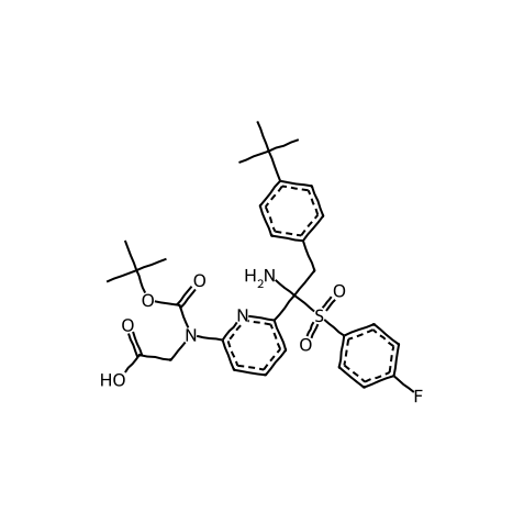 CC(C)(C)OC(=O)N(CC(=O)O)c1cccc(C(N)(Cc2ccc(C(C)(C)C)cc2)S(=O)(=O)c2ccc(F)cc2)n1